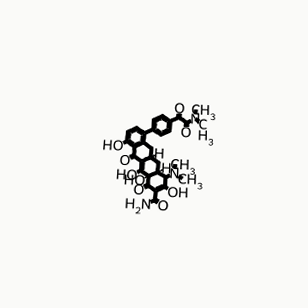 CN(C)C(=O)C(=O)c1ccc(-c2ccc(O)c3c2C[C@@H]2C[C@H]4C(N(C)C)C(O)=C(C(N)=O)C(=O)[C@@]4(O)C(O)=C2C3=O)cc1